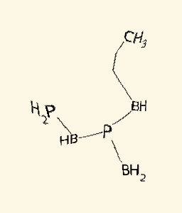 BP(BP)BCC